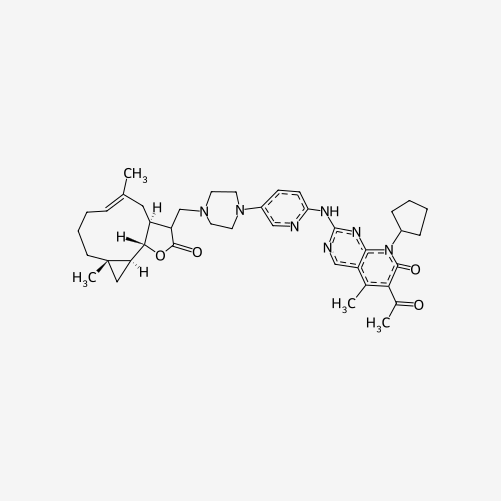 CC(=O)c1c(C)c2cnc(Nc3ccc(N4CCN(CC5C(=O)O[C@@H]6[C@H]7C[C@]7(C)CCC/C=C(\C)C[C@@H]56)CC4)cn3)nc2n(C2CCCC2)c1=O